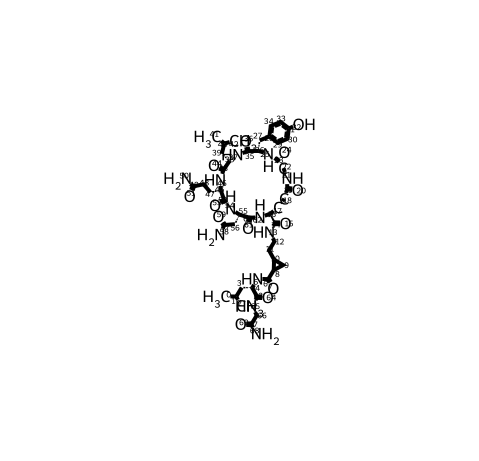 CC(C)C[C@H](NC(=O)C1CC1CCNC(=O)[C@@H]1CCC(=O)NCC(=O)N[C@@H](Cc2ccc(O)cc2)C(=O)N[C@@H](CC(C)C)C(=O)N[C@@H](CCC(N)=O)C(=O)N[C@@H](CC(N)=O)C(=O)N1)C(=O)NCC(N)=O